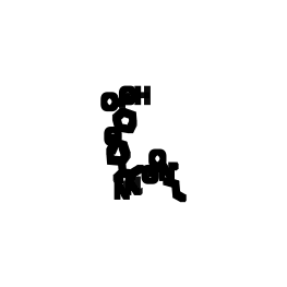 CCCCN(C)C(=O)OCc1c(-c2ccc(O[C@H]3CCC[C@H](C(=O)O)C3)cc2)cnn1C